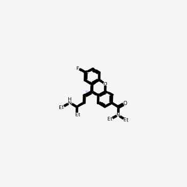 CCNC(CC)C/C=C1\c2ccc(C(=O)N(CC)CC)cc2Oc2ccc(F)cc21